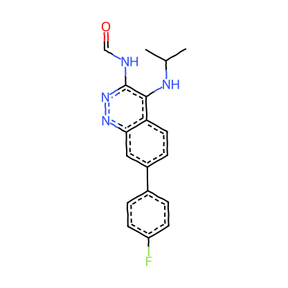 CC(C)Nc1c(NC=O)nnc2cc(-c3ccc(F)cc3)ccc12